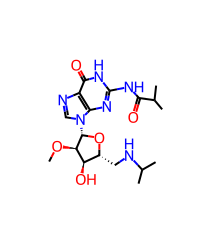 CO[C@@H]1[C@H](O)[C@@H](CNC(C)C)O[C@H]1n1cnc2c(=O)[nH]c(NC(=O)C(C)C)nc21